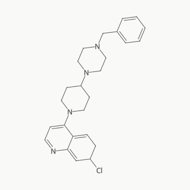 ClC1C=c2nccc(N3CCC(N4CCN(Cc5ccccc5)CC4)CC3)c2=CC1